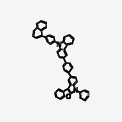 c1ccc(-n2c3ccc(-c4ccc(-c5ccc6c(c5)c5ccccc5n6-c5ccc(-c6cccc7ccccc67)cc5)cc4)cc3c3c4ccccc4oc32)cc1